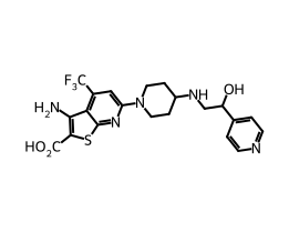 Nc1c(C(=O)O)sc2nc(N3CCC(NCC(O)c4ccncc4)CC3)cc(C(F)(F)F)c12